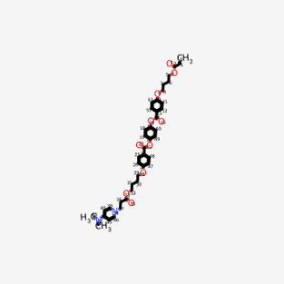 C=CC(=O)OCCCCOc1ccc(C(=O)Oc2ccc(OC(=O)c3ccc(OCCCCOC(=O)CC[n+]4ccc(N(C)C)cc4)cc3)cc2)cc1